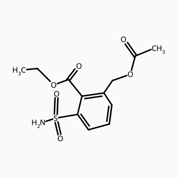 CCOC(=O)c1c(COC(C)=O)cccc1S(N)(=O)=O